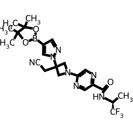 C[C@H](NC(=O)c1cnc(N2CC(CC#N)(n3cc(B4OC(C)(C)C(C)(C)O4)cn3)C2)cn1)C(F)(F)F